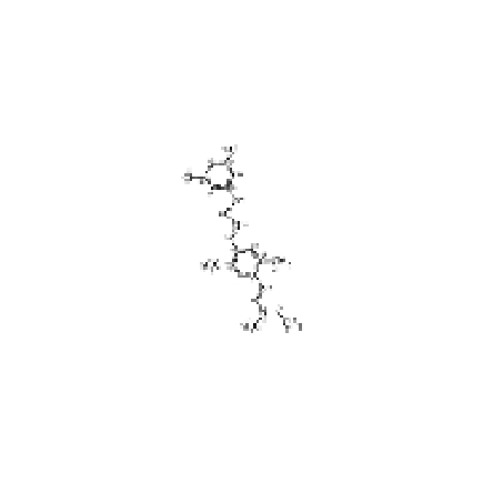 CCN(C)C=Nc1cc(C)c(C=NOCc2cc(Cl)cc(Cl)c2)cc1C